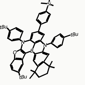 CC(C)(C)c1ccc(N2c3cc4c(cc3B3c5c2cc(-c2ccc([Si](C)(C)C)cc2)cc5N(c2ccc(C(C)(C)C)cc2)c2oc5ccc(C(C)(C)C)cc5c23)C(C)(C)CCC4(C)C)cc1